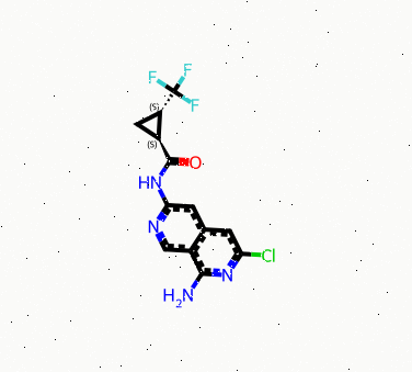 Nc1nc(Cl)cc2cc(NC(=O)[C@H]3C[C@@H]3C(F)(F)F)ncc12